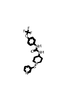 O=C(Nc1ccc(OC(F)(F)F)cc1)NC1CCN(Sc2cccnc2)CC1